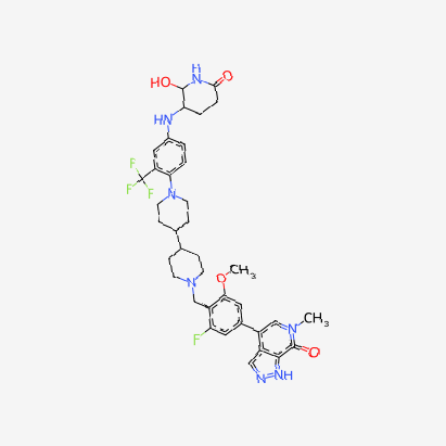 COc1cc(-c2cn(C)c(=O)c3[nH]ncc23)cc(F)c1CN1CCC(C2CCN(c3ccc(NC4CCC(=O)NC4O)cc3C(F)(F)F)CC2)CC1